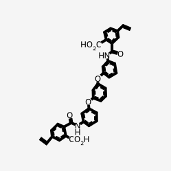 C=Cc1ccc(C(=O)Nc2cccc(Oc3cccc(Oc4cccc(NC(=O)c5cc(C=C)ccc5C(=O)O)c4)c3)c2)c(C(=O)O)c1